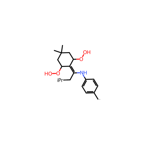 [CH2]c1ccc(NC(CC(C)C)=C2C(OO)CC(C)(C)CC2OO)cc1